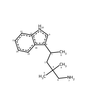 CC(CC(C)(C)CN)c1c[nH]c2ccccc12